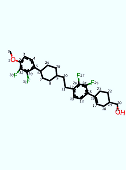 COc1ccc(C2CCC(CCc3ccc(C4=CCC(CO)CC4)c(F)c3F)CC2)c(F)c1F